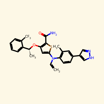 C=CN(c1cc(O[C@H](C)c2ccccc2C(F)(F)F)c(C(N)=O)s1)c1ccc(-c2cn[nH]c2)cc1C